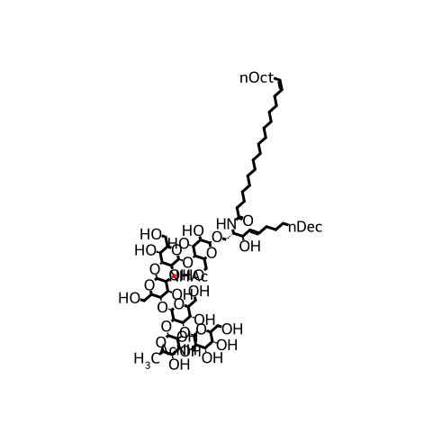 CCCCCCCC/C=C\CCCCCCCCCCCCCCCC(=O)N[C@@H](CO[C@@H]1OC(CO)[C@@H](O[C@@H]2OC(CO)[C@H](O)[C@H](O[C@@H]3OC(CO)[C@@H](O[C@@H]4OC(CO)[C@H](O)[C@H](O[C@@H]5OC(CO)[C@H](O)[C@H](O)C5NC(C)=O)C4O[C@H]4OC(C)[C@@H](O)C(O)[C@@H]4O)[C@H](O)C3NC(C)=O)C2O)[C@H](O)C1O)[C@H](O)/C=C/CCCCCCCCCCCCC